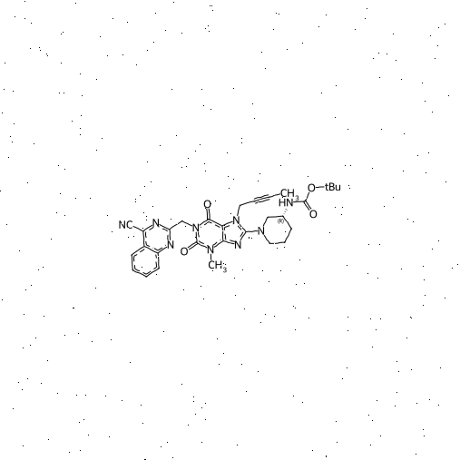 CC#CCn1c(N2CCC[C@@H](NC(=O)OC(C)(C)C)C2)nc2c1c(=O)n(Cc1nc(C#N)c3ccccc3n1)c(=O)n2C